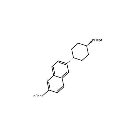 CCCCCCC[C@H]1CC[C@H](c2ccc3cc(CCCCC)ccc3c2)CC1